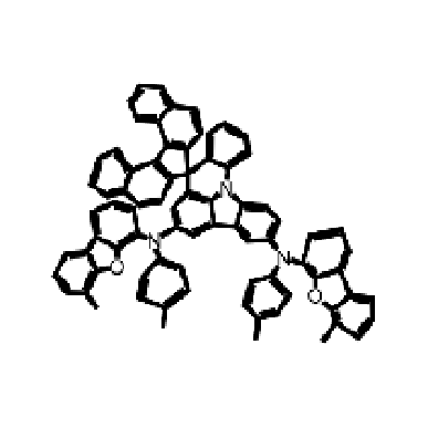 Cc1ccc(N(c2ccc3c(c2)c2cc(N(c4ccc(C)cc4)c4cccc5c4oc4c(C)cccc45)cc4c2n3-c2ccccc2C42c3ccc4ccccc4c3-c3c2ccc2ccccc32)c2cccc3c2oc2c(C)cccc23)cc1